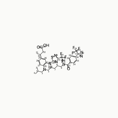 CC(C)CN(CCCCCNC(=O)c1ccc(C2(C(F)(F)F)N=N2)cc1)c1ccc(C(C)CC(=O)O)cc1Nc1nc(C(F)(F)F)ns1